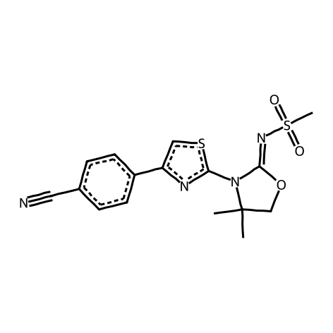 CC1(C)COC(=NS(C)(=O)=O)N1c1nc(-c2ccc(C#N)cc2)cs1